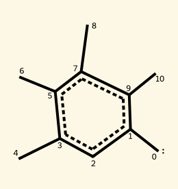 [CH]c1cc(C)c(C)c(C)c1C